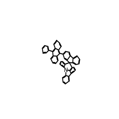 c1ccc(-c2c3ccccc3c(-c3ccc4c(c3)C3(c5ccccc5-4)c4ccccc4-n4c5ccccc5c5cccc3c54)c3ccccc23)cc1